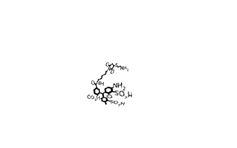 C=c1ccc2c(c1S(=O)(=O)O)Oc1c(ccc(N)c1S(=O)(=O)O)C=2c1cc(C(=O)NCCCCCN2C(=O)CC(SCCN)C2=O)ccc1C(=O)O